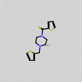 Cl.S=C(c1cccs1)N1CCN(Cc2cccs2)CC1